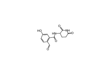 O=Cc1ccc(O)cc1C(=O)NC1CCC(=O)NC1=O